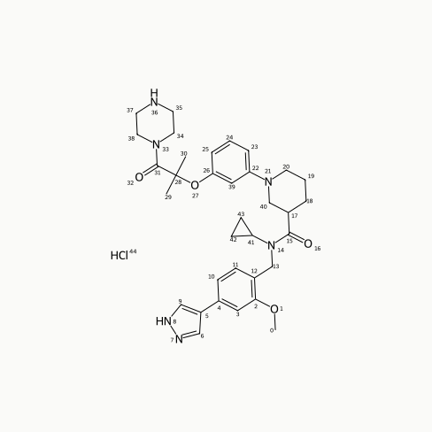 COc1cc(-c2cn[nH]c2)ccc1CN(C(=O)C1CCCN(c2cccc(OC(C)(C)C(=O)N3CCNCC3)c2)C1)C1CC1.Cl